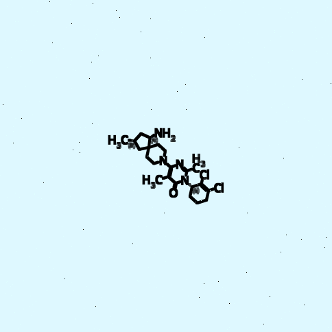 Cc1c(N2CCC3(CC2)C[C@@H](C)C[C@H]3N)nc(C)n([C@H]2CCCC(Cl)=C2Cl)c1=O